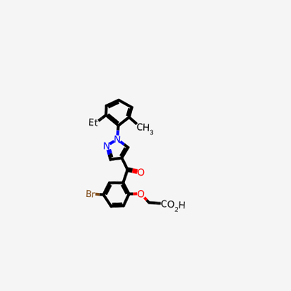 CCc1cccc(C)c1-n1cc(C(=O)c2cc(Br)ccc2OCC(=O)O)cn1